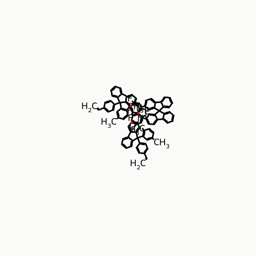 C=Cc1ccc(C2(c3cc(C)ccc3C)c3ccccc3-c3ccc(N(c4ccc5c(c4)C4(c6ccccc6-5)c5ccccc5-c5ccc(N(c6ccc7c(c6)C(c6ccc(C=C)cc6)(c6cc(C)ccc6C)c6ccccc6-7)c6c(F)cc(F)cc6F)cc54)c4c(F)cc(F)cc4F)cc32)cc1